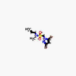 C=CCN(C)S(=O)(=O)Cn1nc(Br)cc1Br